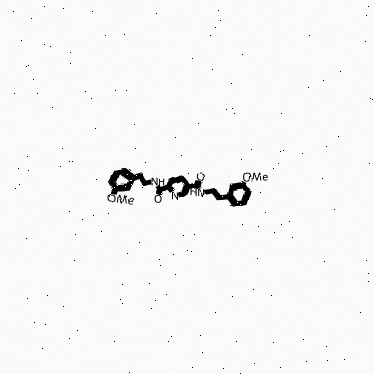 COc1cccc(CCNC(=O)c2ccc(C(=O)NCCc3cccc(OC)c3)nc2)c1